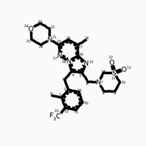 Cc1c(Cc2c(CN3CCCS(=O)(=O)C3)nc3c(C)cc(N4CCOCC4)nn23)cccc1C(F)(F)F